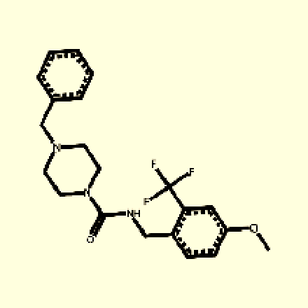 COc1ccc(CNC(=O)N2CCN(Cc3ccccc3)CC2)c(C(F)(F)F)c1